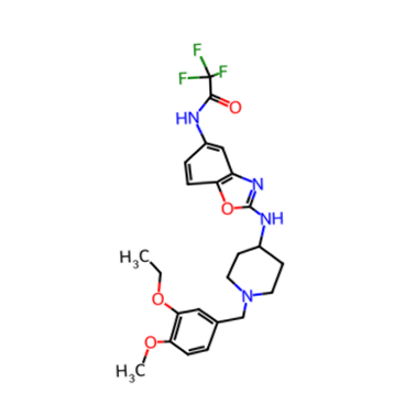 CCOc1cc(CN2CCC(Nc3nc4cc(NC(=O)C(F)(F)F)ccc4o3)CC2)ccc1OC